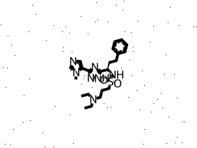 CCN(CC)CCCS(=O)(=O)N[C@H](CCc1ccccc1)c1nc(-c2cncn2C)n[nH]1